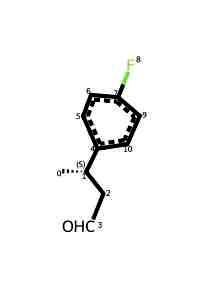 C[C@@H]([CH]C=O)c1ccc(F)cc1